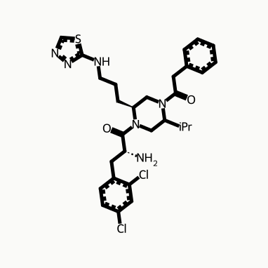 CC(C)C1CN(C(=O)[C@H](N)Cc2ccc(Cl)cc2Cl)[C@@H](CCCNc2nncs2)CN1C(=O)Cc1ccccc1